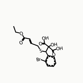 CCOC(=O)/C=C/CSC(c1ccccc1Br)C(O)(C(=O)O)C(=O)O